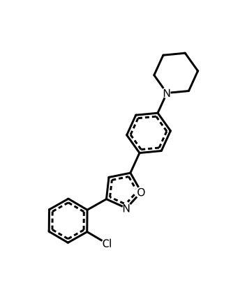 Clc1ccccc1-c1cc(-c2ccc(N3CCCCC3)cc2)on1